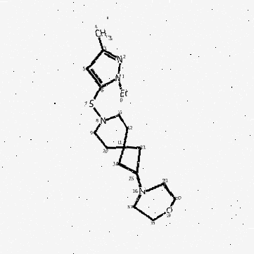 CCn1nc(C)cc1SN1CCC2(CC1)CC(N1CCOCC1)C2